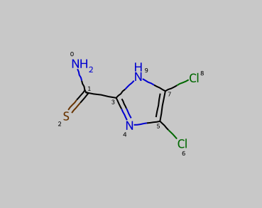 NC(=S)c1nc(Cl)c(Cl)[nH]1